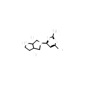 CC(C)c1cc(N2C[C@H]3CCN[C@H]3C2)nc(N)n1